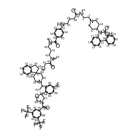 CN(CCN1CCC(N(C(=O)O)c2ccccc2-c2ccccc2)CC1)C(=O)CCCNc1ccc(C(=O)N(C)CCCN(C)C(=O)CO[C@H]2Cc3ccccc3C23CCN(CC[C@]2(c4ccc(F)cc4)CN(C(=O)c4cc(C(F)(F)F)cc(C(F)(F)F)c4)CO2)CC3)cc1